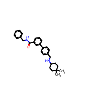 CC1(C)CCC(NCc2ccc(-c3cccc(C(=O)NCc4ccccc4)c3)cc2)CC1